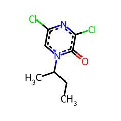 CCC(C)n1cc(Cl)nc(Cl)c1=O